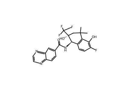 CC1(C)C[C@](O)(C(F)(F)F)[C@H](NC(=O)c2ccc3nccnc3c2)c2ccc(F)c(O)c21